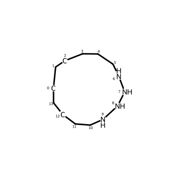 C1CCCCCNNNNCCCC1